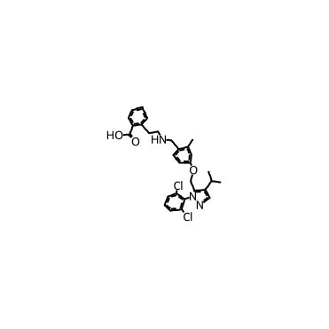 Cc1cc(OCc2c(C(C)C)cnn2-c2c(Cl)cccc2Cl)ccc1CNCCc1ccccc1C(=O)O